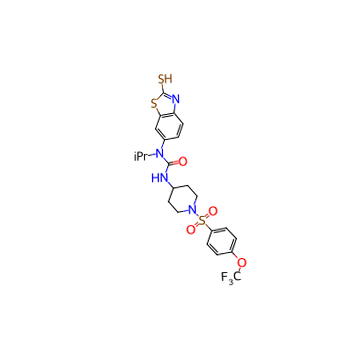 CC(C)N(C(=O)NC1CCN(S(=O)(=O)c2ccc(OC(F)(F)F)cc2)CC1)c1ccc2nc(S)sc2c1